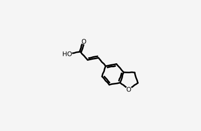 O=C(O)/C=C/c1ccc2c(c1)CCO2